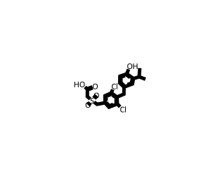 CC(C)c1cc(Cc2c(Cl)cc(CS(=O)(=O)CC(=O)O)cc2Cl)ccc1O